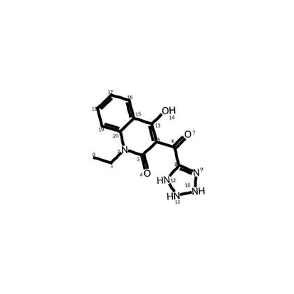 CCn1c(=O)c(C(=O)C2=NNNN2)c(O)c2ccccc21